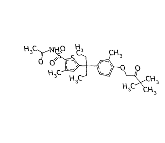 CCC(CC)(c1ccc(OCC(=O)C(C)(C)C)c(C)c1)c1cc(C)c(S(=O)(=O)NC(C)=O)s1